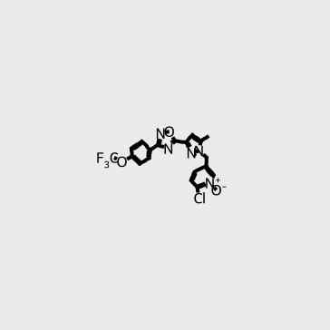 Cc1cc(-c2nc(-c3ccc(OC(F)(F)F)cc3)no2)nn1Cc1ccc(Cl)[n+]([O-])c1